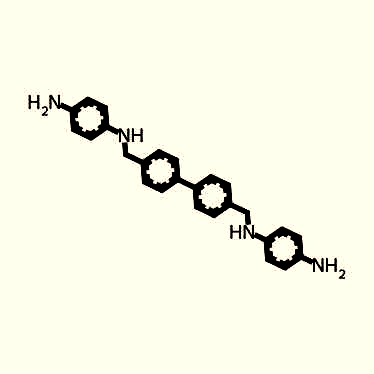 Nc1ccc(NCc2ccc(-c3ccc(CNc4ccc(N)cc4)cc3)cc2)cc1